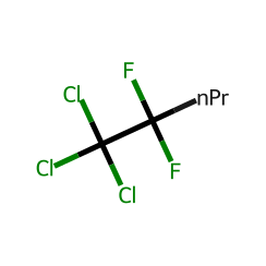 CCCC(F)(F)C(Cl)(Cl)Cl